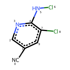 N#Cc1cnc(NCl)c(Cl)c1